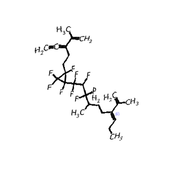 C=C=C(CCC1(F)C(F)(F)C1(F)C(F)(F)C(F)C(F)(P)C(C)CC/C(=C\CC)C(=C)C)C(=C)C